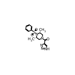 C[C@@H]1CN(C(=O)c2c[nH]nn2)C[C@H](C)N1S(=O)(=O)c1ccccc1